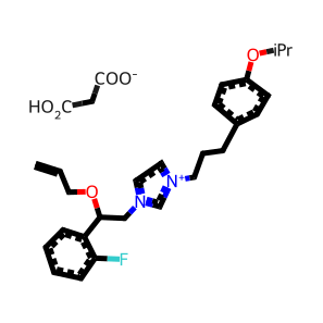 C=CCOC(Cn1cc[n+](CCCc2ccc(OC(C)C)cc2)c1)c1ccccc1F.O=C([O-])CC(=O)O